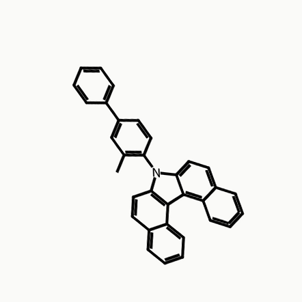 Cc1cc(-c2ccccc2)ccc1-n1c2ccc3c(c2c2c4ccccc4ccc21)C=C=C=C3